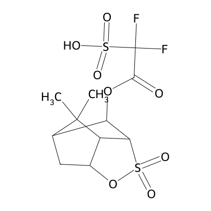 CC1(C)C2CC3OS(=O)(=O)C(C2OC(=O)C(F)(F)S(=O)(=O)O)C31